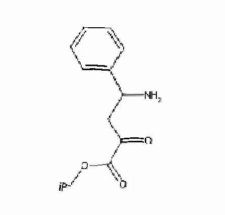 CC(C)OC(=O)C(=O)CC(N)c1ccccc1